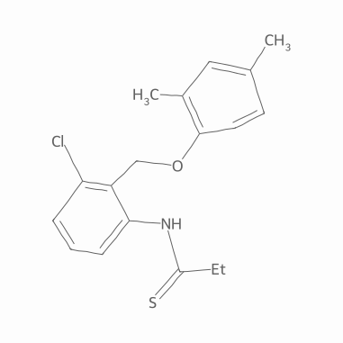 CCC(=S)Nc1cccc(Cl)c1COc1ccc(C)cc1C